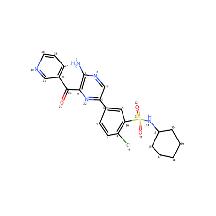 Nc1ncc(-c2ccc(Cl)c(S(=O)(=O)NC3CCCCC3)c2)nc1C(=O)c1cccnc1